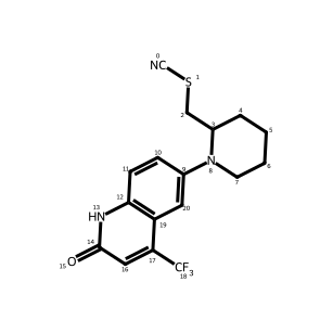 N#CSCC1CCCCN1c1ccc2[nH]c(=O)cc(C(F)(F)F)c2c1